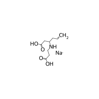 C=CCC(CC(=O)O)NCCC(=O)O.[Na]